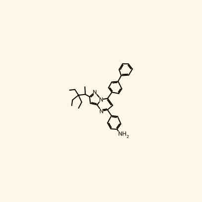 CCC(CC)(CC)C(C)c1cc2nc(-c3ccc(N)cc3)cc(-c3ccc(-c4ccccc4)cc3)n2n1